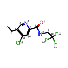 CCc1cnc(C(=O)NCC(F)(F)F)cc1Cl